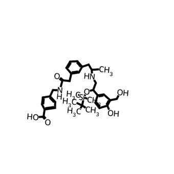 CC(Cc1cccc(CC(=O)NCc2ccc(C(=O)O)cc2)c1)NCC(O[Si](C)(C)C(C)(C)C)c1ccc(O)c(CO)c1